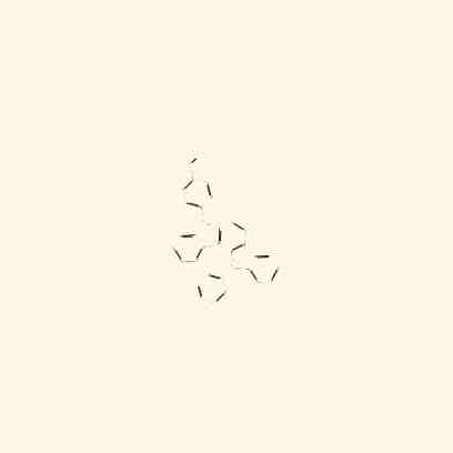 C=Cc1ccc(-n2c3ccccc3c3c2ccc2c4ccccc4n(-c4ccccc4)c23)cc1